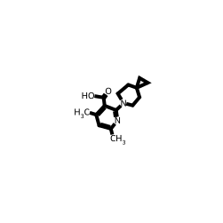 Cc1cc(C)c(C(=O)O)c(N2CCC3(CC2)CC3)n1